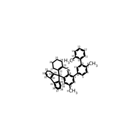 Cc1cc(-c2ccc(C)c(-c3ccccc3C)c2)c2c(c1)C1(C3=C(CCCC3)S2)C2=C(C=CCC2)c2ccccc21